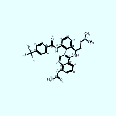 CN(C)CCC(Nc1ncnc2c(OC(N)=O)cccc12)c1cccc(NC(=O)c2ccc(C(F)(F)F)cc2)c1